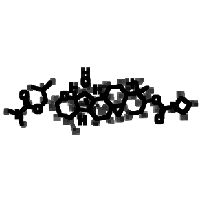 CC(C)C(OC(=O)N(C)C)[C@H]1C[C@@H](C)[C@H]2[C@H](O1)[C@H](O)[C@@]1(C)[C@@H]3CC[C@H]4C(C)(C)[C@@H](OC(=O)N5CCC5)CC[C@@]45C[C@@]35CC[C@]21C